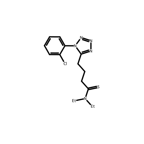 CCN(CC)C(=S)CCCc1nnnn1-c1ccccc1Cl